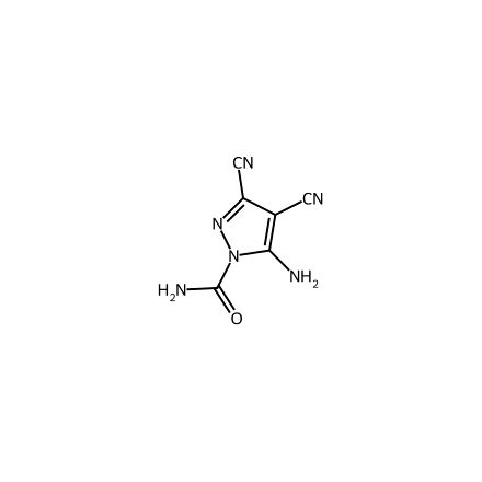 N#Cc1nn(C(N)=O)c(N)c1C#N